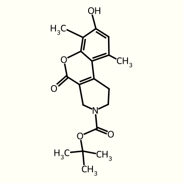 Cc1c(O)cc(C)c2c3c(c(=O)oc12)CN(C(=O)OC(C)(C)C)CC3